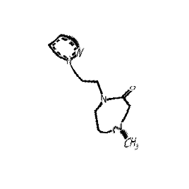 CN1CCN(CCn2cccn2)C(=O)C1